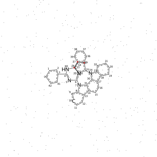 c1ccc(C2=NC(n3c4ccccc4c4ccc5c6ccccc6n(-c6cccs6)c5c43)=NC(c3ccccc3)N2)cc1